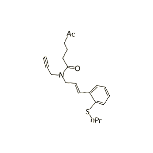 C#CCN(C/C=C/c1ccccc1SCCC)C(=O)CCCC(C)=O